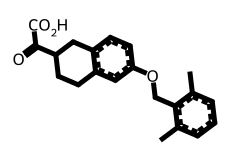 Cc1cccc(C)c1COc1ccc2c(c1)CCC(C(=O)C(=O)O)C2